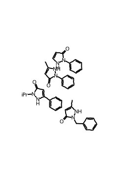 CC(C)n1[nH]c(-c2ccccc2)cc1=O.Cc1cc(=O)n(-c2ccccc2)[nH]1.Cc1cc(=O)n(Cc2ccccc2)[nH]1.O=c1cc[nH]n1-c1ccccc1